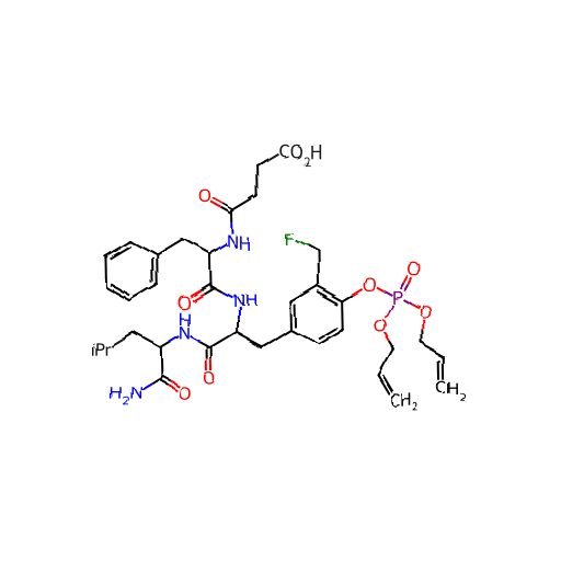 C=CCOP(=O)(OCC=C)Oc1ccc(CC(NC(=O)C(Cc2ccccc2)NC(=O)CCC(=O)O)C(=O)NC(CC(C)C)C(N)=O)cc1CF